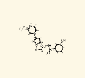 N#Cc1cccc(C(=O)N[C@H]2CCn3nc(-c4ccnc(C(F)(F)F)c4)cc32)c1